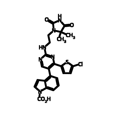 CC1(C)C(=O)NC(=O)N1CCNc1ncc(-c2cccc3c2ccn3C(=O)O)c(-c2ccc(Cl)s2)n1